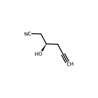 C#CC[C@@H](O)CC#N